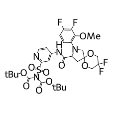 COc1c(N2CC3(CC2C(=O)Nc2ccnc(S(=O)(=O)N(C(=O)OC(C)(C)C)C(=O)OC(C)(C)C)c2)OCC(F)(F)CO3)ccc(F)c1F